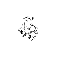 Cc1ccc(C[C@@H]2CCCN2C[C@@H](O)CO[C@H](C)c2ccc(CCC(=O)O)cc2)cc1F